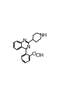 Cl.Clc1ccccc1-c1nc(C2CCNCC2)nc2ccccc12